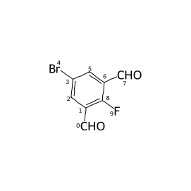 O=Cc1cc(Br)cc(C=O)c1F